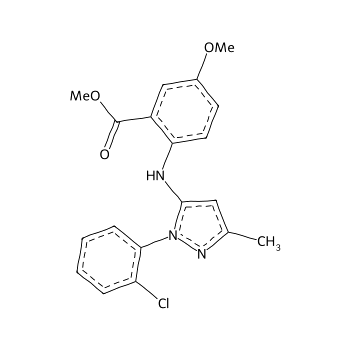 COC(=O)c1cc(OC)ccc1Nc1cc(C)nn1-c1ccccc1Cl